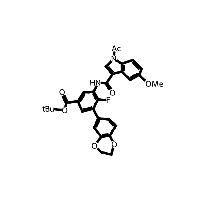 COc1ccc2c(c1)c(C(=O)Nc1cc(C(=O)OC(C)(C)C)cc(-c3ccc4c(c3)OCCO4)c1F)cn2C(C)=O